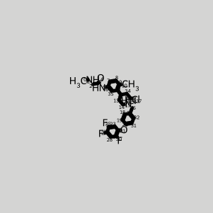 CNCC(=O)Nc1ccc(C)c(C2CCN(Cc3ccc(Oc4cc(F)c(F)cc4F)cc3)CC2)c1.Cl.Cl